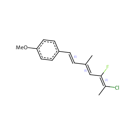 COc1ccc(/C=C/C(C)=C/C(F)=C(\C)Cl)cc1